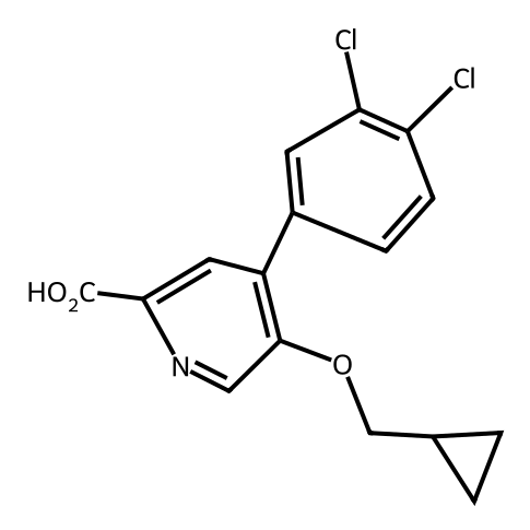 O=C(O)c1cc(-c2ccc(Cl)c(Cl)c2)c(OCC2CC2)cn1